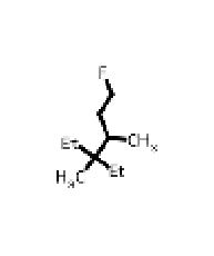 CCC(C)(CC)C(C)CCF